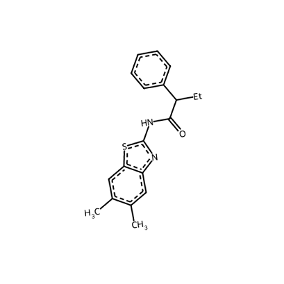 CCC(C(=O)Nc1nc2cc(C)c(C)cc2s1)c1ccccc1